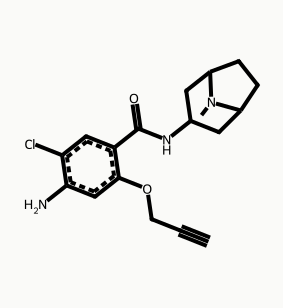 C#CCOc1cc(N)c(Cl)cc1C(=O)NC1CC2CCC(C1)N2C